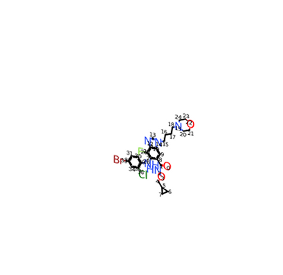 O=C(NOCC1CC1)c1cc2c(ncn2CCCCN2CCOCC2)c(F)c1Nc1ccc(Br)cc1Cl